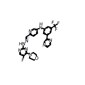 Fc1cnc(N/N=C/c2ccc(Nc3cc(-c4cnccn4)cc(C(F)(F)F)c3)cn2)nc1N1CCOCC1